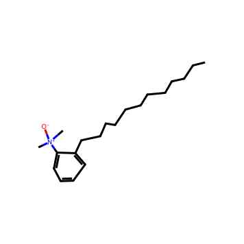 CCCCCCCCCCCCc1ccccc1[N+](C)(C)[O-]